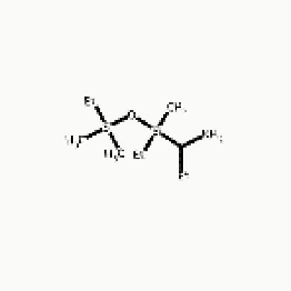 CCC(N)[Si](C)(CC)O[Si](C)(C)CC